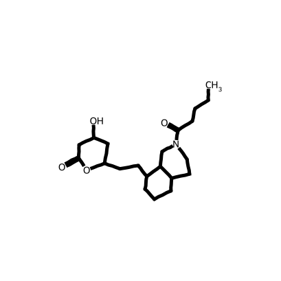 CCCCC(=O)N1CCC2CCCC(CCC3CC(O)CC(=O)O3)C2C1